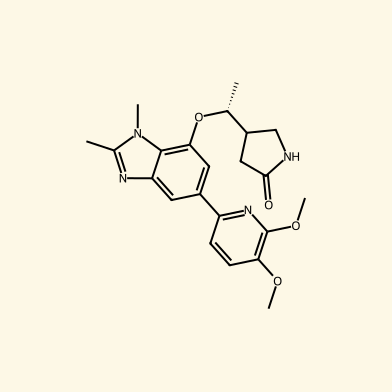 COc1ccc(-c2cc(O[C@H](C)C3CNC(=O)C3)c3c(c2)nc(C)n3C)nc1OC